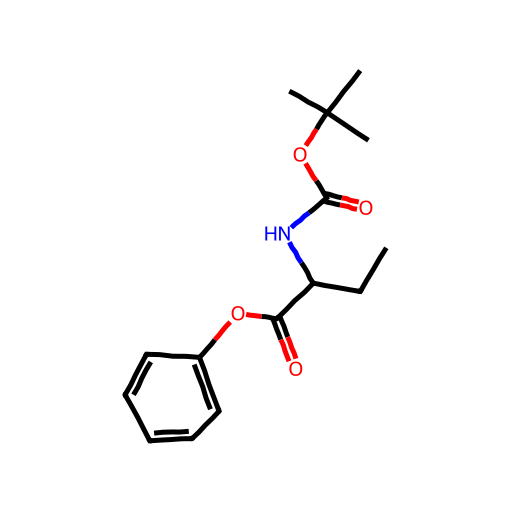 CCC(NC(=O)OC(C)(C)C)C(=O)Oc1ccccc1